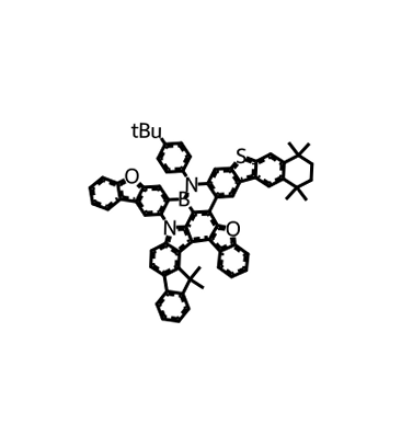 CC(C)(C)c1ccc(N2B3c4cc5oc6ccccc6c5cc4-n4c5ccc6c(c5c5c7c(oc8ccccc87)c(c3c54)-c3cc4c(cc32)sc2cc3c(cc24)C(C)(C)CCC3(C)C)C(C)(C)c2ccccc2-6)cc1